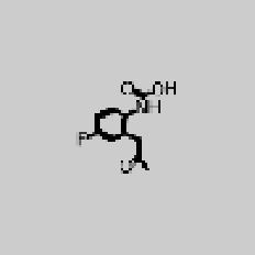 CC(=O)Cc1cc(F)ccc1NC(=O)O